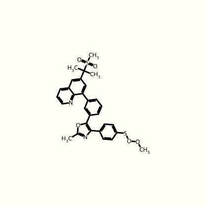 COOSc1ccc(-c2nc(C)oc2-c2cccc(-c3cc(C(C)(C)S(C)(=O)=O)cc4cccnc34)c2)cc1